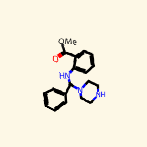 COC(=O)c1ccccc1NC(c1ccccc1)N1CCNCC1